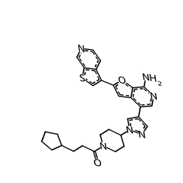 Nc1ncc(-c2cnn(C3CCN(C(=O)CCC4CCCC4)CC3)c2)c2cc(-c3csc4cnccc34)oc12